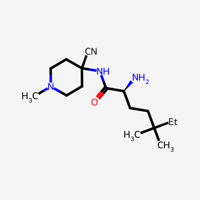 CCC(C)(C)CC[C@H](N)C(=O)NC1(C#N)CCN(C)CC1